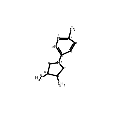 CC1CN(c2ccc(C#N)nn2)CC1C